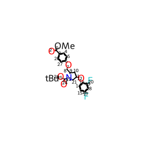 COC(=O)c1ccc(OCC2CC(Oc3ccc(F)cc3F)CN2C(=O)OC(C)(C)C)cc1